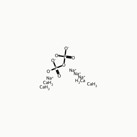 O=P([O-])([O-])OP(=O)([O-])[O-].[CaH2].[CaH2].[CaH2].[CaH2].[Na+].[Na+].[Na+].[Na+]